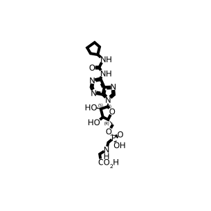 O=C(O)CNCP(=O)(O)OC[C@H]1O[C@@H](n2cnc3c(NC(=O)NC4CCCC4)ncnc32)[C@@H](O)C1O